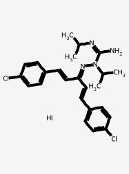 CC(C)N=C(N)N(N=C(C=Cc1ccc(Cl)cc1)C=Cc1ccc(Cl)cc1)C(C)C.I